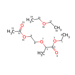 CCOC(=O)C(C)OCCOC(C)=O.CCOCC